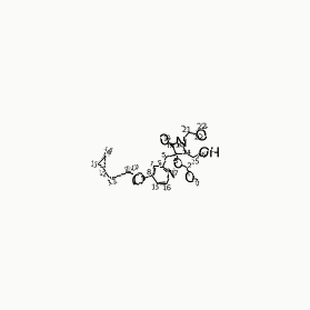 COCOC1(Cc2cc(OCCC3CC3)ccn2)C(=O)N(COC)C1CO